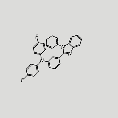 Fc1ccc(N(c2ccc(F)cc2)c2cccc(-c3nc4ccccc4n3C3=CCCC=C3)c2)cc1